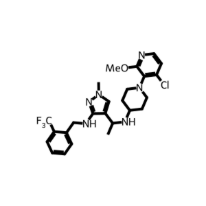 COc1nccc(Cl)c1N1CCC(NC(C)c2cn(C)nc2NCc2ccccc2C(F)(F)F)CC1